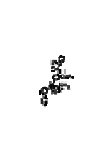 CC(=O)O.COc1cc(-c2nn(-c3ccnc(N4CCN(C)CC4)c3)c3ncnc(N)c23)ccc1NC(=O)c1cc2ccccc2[nH]1